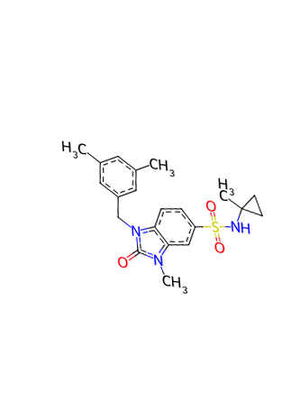 Cc1cc(C)cc(Cn2c(=O)n(C)c3cc(S(=O)(=O)NC4(C)CC4)ccc32)c1